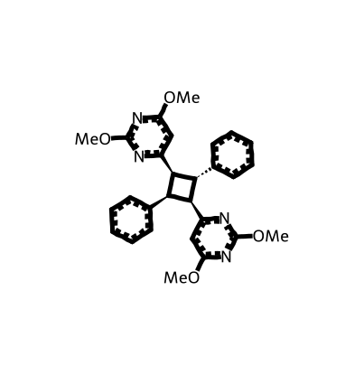 COc1cc([C@H]2[C@H](c3ccccc3)[C@@H](c3cc(OC)nc(OC)n3)[C@H]2c2ccccc2)nc(OC)n1